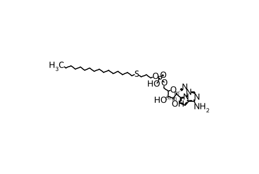 CCCCCCCCCCCCCCCCSCCCOP(=O)(O)OCC1O[C@@](C#N)(c2ccc3c(N)ncnn23)[C@H](O)[C@@H]1O